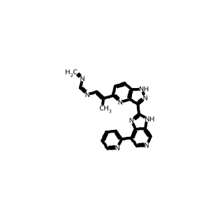 C=N/C=N\C=C(/C)c1ccc2[nH]nc(-c3nc4c(-c5ccccn5)cncc4[nH]3)c2n1